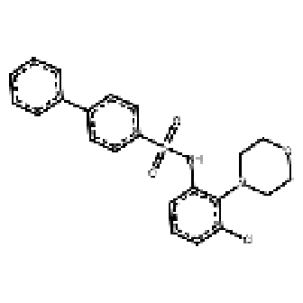 O=S(=O)(Nc1cccc(Cl)c1N1CCOCC1)c1ccc(-c2ccccc2)cc1